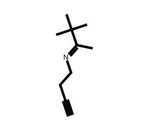 C#CCC/N=C(\C)C(C)(C)C